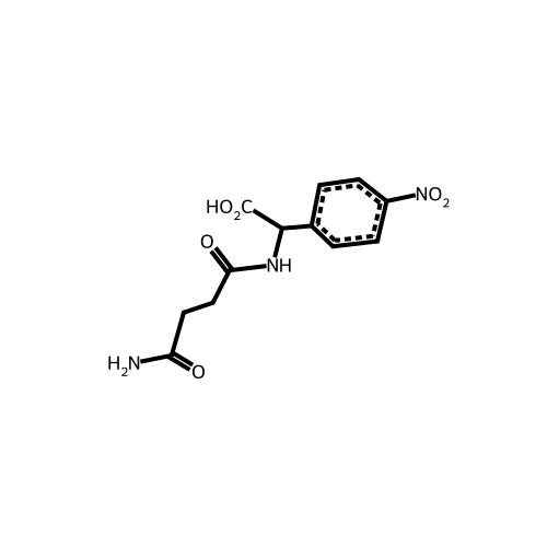 NC(=O)CCC(=O)NC(C(=O)O)c1ccc([N+](=O)[O-])cc1